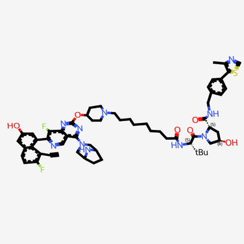 C#Cc1c(F)ccc2cc(O)cc(-c3ncc4c(N5CC6CCC(C5)N6)nc(OC5CCN(CCCCCCCCC(=O)N[C@H](C(=O)N6C[C@H](O)C[C@H]6C(=O)NCc6ccc(-c7scnc7C)cc6)C(C)(C)C)CC5)nc4c3F)c12